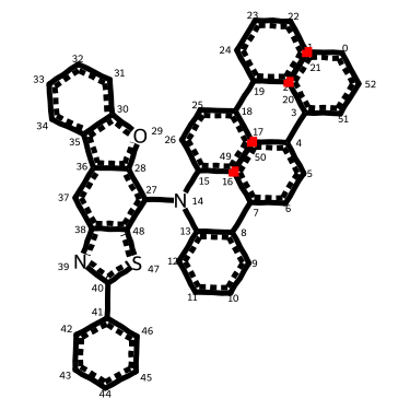 c1ccc(-c2ccc(-c3ccccc3N(c3ccc(-c4ccccc4)cc3)c3c4oc5ccccc5c4cc4nc(-c5ccccc5)sc34)cc2)cc1